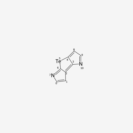 C1=Cc2c3c([te]c2=N1)=CC=N3